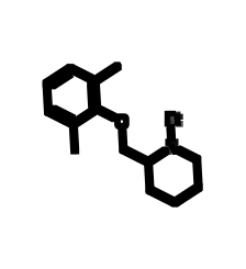 CCN1CCCCC1COc1c(C)cccc1C